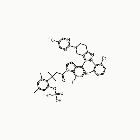 CCc1cccc(CC)c1-n1nc2c(c1-c1ccc(F)c3c1ccn3C(=O)CC(C)(C)c1c(C)cc(C)cc1OP(=O)(O)O)CN(c1ncc(C(F)(F)F)cn1)CC2